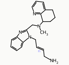 CN(Cc1nc2ccccc2n1C/C=C/CN)C1CCCc2cccnc21